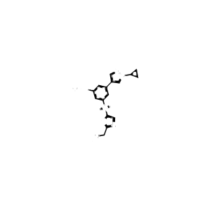 COc1cc(-c2cnn(C3CC3)c2)cc(S(=O)(=O)c2cnc(CN)s2)c1